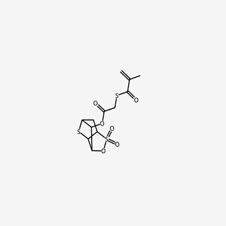 C=C(C)C(=O)SCC(=O)OC1C2CC3C(S2)C1OS3(=O)=O